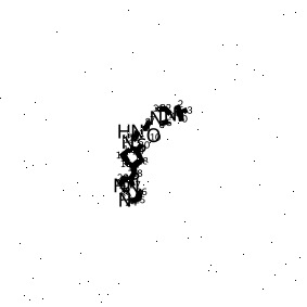 CC(C)(C)N1CCN(CC(=O)Nc2nc3ccc(Sc4cnc5ncccn45)cc3s2)CC1